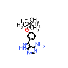 CC(C)(C)[Si](C)(C)Oc1cccc(-c2n[nH]c3ncnc(N)c23)c1